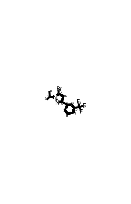 CC(C)n1nc(-c2cccc(C(F)(F)F)c2)cc1Br